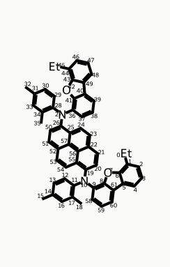 CCc1cccc2c1oc1c(N(c3ccc(C)cc3C)c3ccc4ccc5c(N(c6ccc(C)cc6C)c6cccc7c6oc6c(CC)cccc67)ccc6ccc3c4c65)cccc12